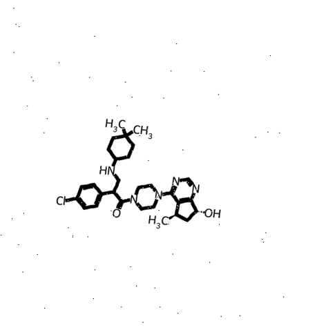 C[C@@H]1C[C@@H](O)c2ncnc(N3CCN(C(=O)C(CNC4CCC(C)(C)CC4)c4ccc(Cl)cc4)CC3)c21